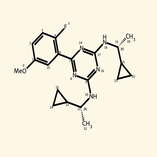 COc1ccc(F)c(-c2nc(N[C@H](C)C3CC3)nc(N[C@H](C)C3CC3)n2)c1